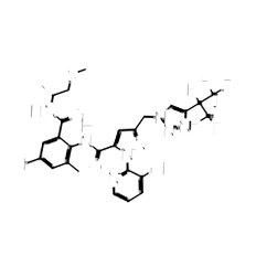 CSC[C@H](C)NC(=O)c1cc(I)cc(C)c1NC(=O)c1cc(Cn2cc(C(F)(C(F)(F)F)C(F)(F)F)nn2)nn1-c1ncccc1Cl